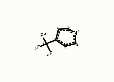 FC(F)(F)c1[c][c]nc[c]1